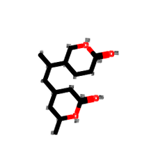 CC1CC(CC(C)C2CCC(=O)OC2)CC(=O)O1